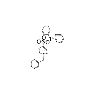 O=S(=O)(O[I+](c1ccccc1)c1ccccc1)c1ccc(Cc2ccccc2)cc1